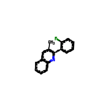 Cc1cc2ccccc2nc1-c1ccccc1F